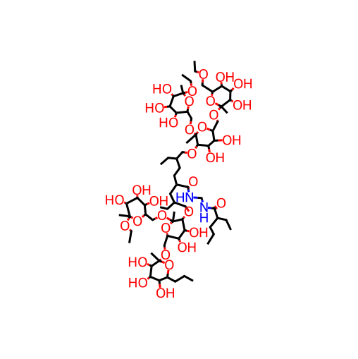 CCCC(CC)C(=O)NCNC(=O)C(CCC(CC)COC1C(O)C(O)C(COC2(C)OC(COCC)C(O)C(O)C2O)OC1(C)OCC1OC(C)(OCC)C(O)C(O)C1O)CC(CC)COC1C(O)C(O)C(COC2(C)OC(CCC)C(O)C(O)C2O)OC1(C)OCC1OC(C)(OCC)C(O)C(O)C1O